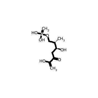 C=C(O)C(=O)C[C@H](O)[C@@H](C)COP(=C)(O)O